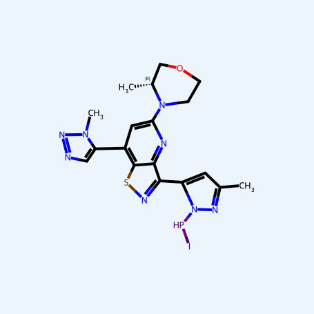 Cc1cc(-c2nsc3c(-c4cnnn4C)cc(N4CCOC[C@H]4C)nc23)n(PI)n1